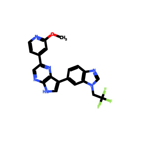 COc1cc(-c2cnc3[nH]cc(-c4ccc5ncn(CC(F)(F)F)c5c4)c3n2)ccn1